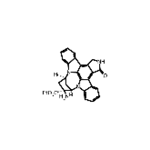 CCOC(=O)[C@]1(N)C[C@@H]2C[C@H]1n1c3ccccc3c3c4c(c5c6ccccc6n2c5c31)CNC4=O